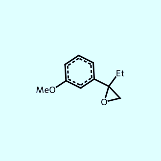 CCC1(c2cccc(OC)c2)CO1